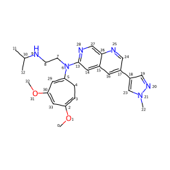 COC1=CCC(N(CCNC(C)C)c2cc3cc(-c4cnn(C)c4)cnc3cn2)=CC(OC)=C1